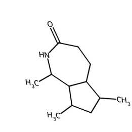 CC1CC(C)C2C(C)NC(=O)CCC12